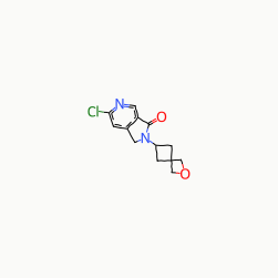 O=C1c2cnc(Cl)cc2CN1C1CC2(COC2)C1